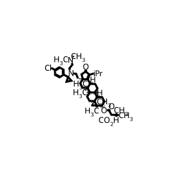 CC(C)C1=C2[C@H]3CC[C@@H]4[C@@]5(C)CC[C@H](OC(=O)CC(C)(C)C(=O)O)C6(C)C[C@]65CC[C@@]4(C)[C@]3(C)CC[C@@]2(CCN(CCN(C)C)C2(c3ccc(Cl)cc3)CC2)CC1=O